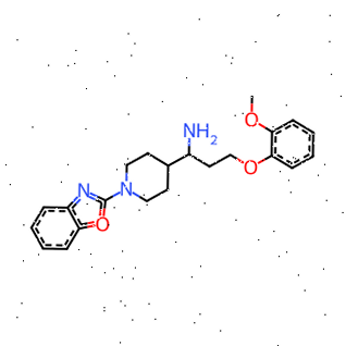 COc1ccccc1OCCC(N)C1CCN(c2nc3ccccc3o2)CC1